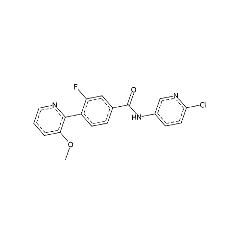 COc1cccnc1-c1ccc(C(=O)Nc2ccc(Cl)nc2)cc1F